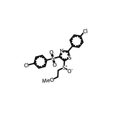 COCC[S+]([O-])c1sc(-c2ccc(Cl)cc2)nc1S(=O)(=O)c1ccc(Cl)cc1